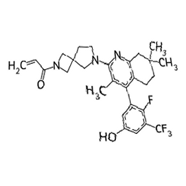 C=CC(=O)N1CC2(CCN(c3nc4c(c(-c5cc(O)cc(C(F)(F)F)c5F)c3C)CCC(C)(C)C4)C2)C1